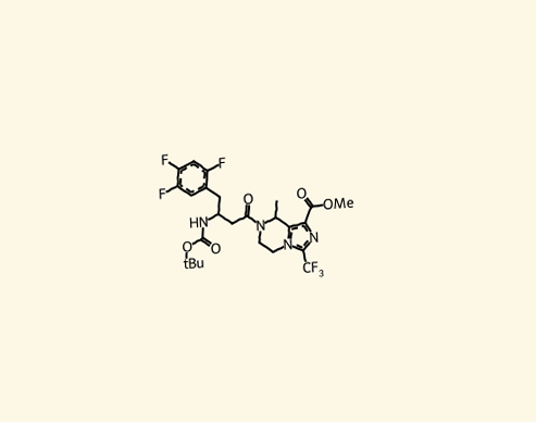 COC(=O)c1nc(C(F)(F)F)n2c1C(C)N(C(=O)CC(Cc1cc(F)c(F)cc1F)NC(=O)OC(C)(C)C)CC2